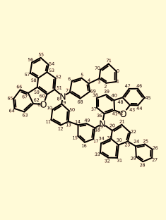 c1ccc(-c2ccc(N(c3cccc(-c4cccc(N(c5ccc(-c6ccccc6)c6ccccc56)c5cccc6c5oc5ccccc56)c4)c3)c3cc4ccccc4c4c3oc3ccccc34)cc2)cc1